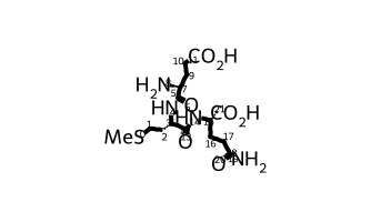 CSCC[C@H](NC(=O)[C@@H](N)CCC(=O)O)C(=O)N[C@@H](CCC(N)=O)C(=O)O